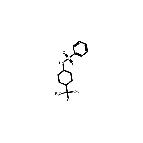 O=S(=O)(NC1CCC(C(O)(C(F)(F)F)C(F)(F)F)CC1)c1ccccc1